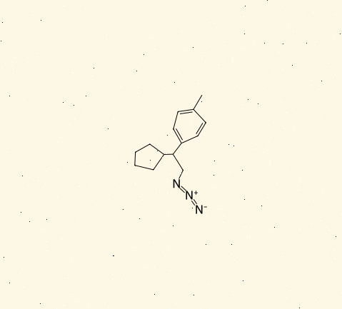 Cc1ccc(C(CN=[N+]=[N-])C2CCCC2)cc1